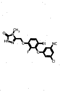 [C-]#[N+]c1cc(Cl)cc(Oc2c(CC)ccc(OCc3n[nH]c(=O)n3C)c2F)c1